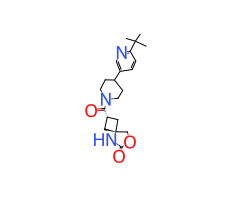 CC(C)(C)c1ccc(C2CCN(C(=O)[C@H]3C[C@]4(COC(=O)N4)C3)CC2)cn1